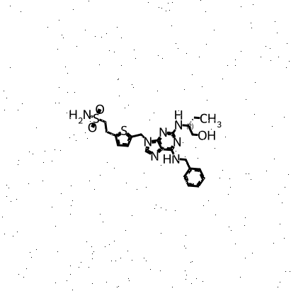 CC[C@H](CO)Nc1nc(NCc2ccccc2)c2ncn(Cc3ccc(CCS(N)(=O)=O)s3)c2n1